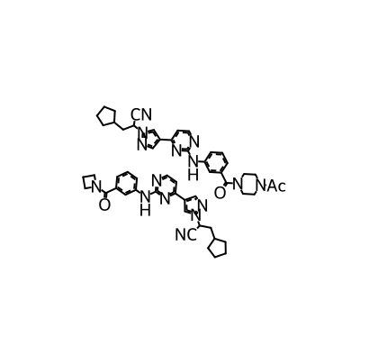 CC(=O)N1CCN(C(=O)c2cccc(Nc3nccc(-c4cnn(C(C#N)CC5CCCC5)c4)n3)c2)CC1.N#CC(CC1CCCC1)n1cc(-c2ccnc(Nc3cccc(C(=O)N4CCC4)c3)n2)cn1